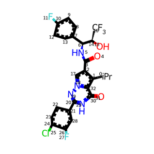 CC(C)c1c(C(=O)N[C@@H](c2ccc(F)cc2)[C@H](O)C(F)(F)F)cn2nc(-c3ccc(Cl)c(F)c3)[nH]c(=O)c12